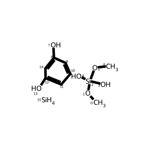 CO[Si](O)(O)OC.Oc1cccc(O)c1.[SiH4]